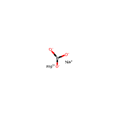 [Mg+2].[Na+].[O-]B([O-])[O-]